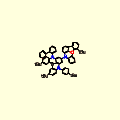 Cc1ccccc1N(c1cc2c3c(c1)N(c1ccccc1-c1ccccc1)c1ccc(C(C)(C)C)cc1B3c1cc(C(C)(C)C)ccc1N2c1ccc(C(C)(C)C)cc1)c1cccc2c1oc1c(C(C)(C)C)cccc12